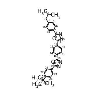 CC(C)Cc1ccc(-c2nnc(-c3ccc(-c4nnc(-c5ccc(C(C)(C)C)cc5)o4)cc3)o2)cc1